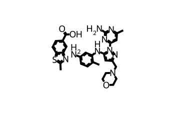 Cc1cc(-n2nc(CN3CCOCC3)cc2Nc2cc(N)ccc2C)nc(N)n1.Cc1nc2cc(C(=O)O)ccc2s1